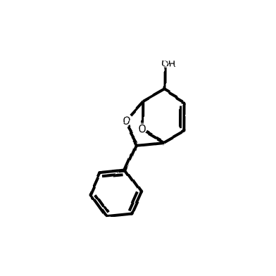 OC1C=CC2OC1OC2c1ccccc1